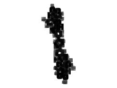 COC(=O)N[C@H](C(=O)N1C[C@@H](C)C[C@H]1c1nc2cc(-c3cnc(-c4ccc5[nH]c([C@@H]6C[C@H](C)CN6C(=O)[C@@H](NC(=O)OC)C(C)C)nc5c4)cn3)ccc2[nH]1)C(C)C